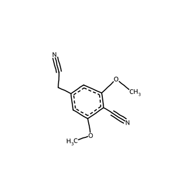 COc1cc(CC#N)cc(OC)c1C#N